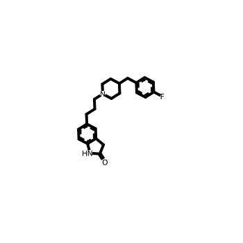 O=C1Cc2cc(CCCN3CCC(Cc4ccc(F)cc4)CC3)ccc2N1